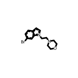 Brc1ccc2ccn(CCN3CCOCC3)c2c1